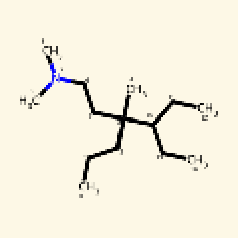 CCCC(C)(CCN(C)C)C(CC)CC